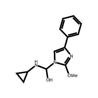 COc1nc(-c2ccccc2)cn1C(O)NC1CC1